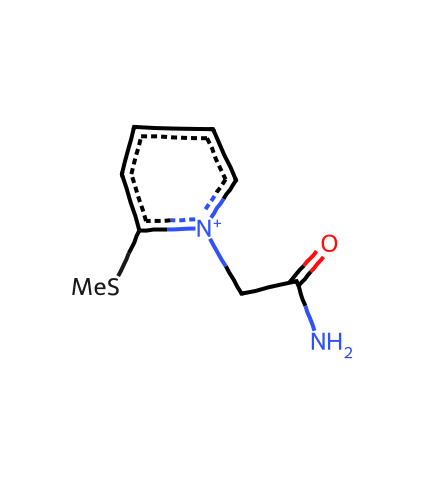 [CH2]Sc1cccc[n+]1CC(N)=O